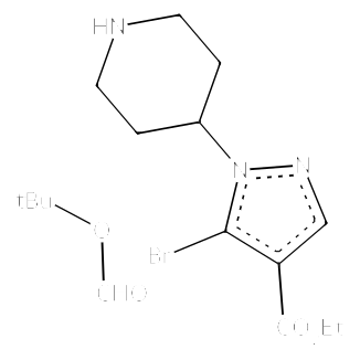 CC(C)(C)OC=O.CCOC(=O)c1cnn(C2CCNCC2)c1Br